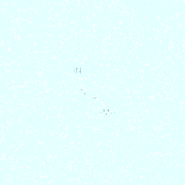 CCN[C@H]1CCN([C@@H](C)c2ccccc2OC)C1